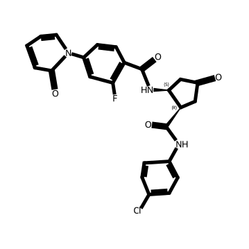 O=C1C[C@H](NC(=O)c2ccc(-n3ccccc3=O)cc2F)[C@H](C(=O)Nc2ccc(Cl)cc2)C1